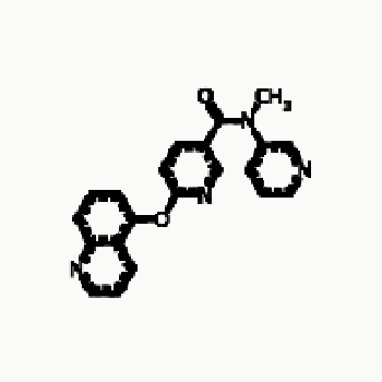 CN(C(=O)c1ccc(Oc2cccc3ncccc23)nc1)c1cccnc1